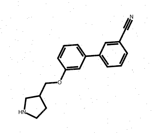 N#Cc1cccc(-c2cccc(OCC3CCNC3)c2)c1